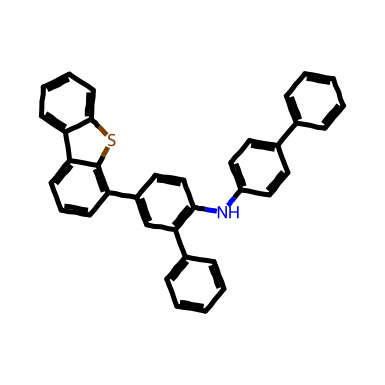 c1ccc(-c2ccc(Nc3ccc(-c4cccc5c4sc4ccccc45)cc3-c3ccccc3)cc2)cc1